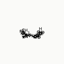 Cc1nc(-c2cn([C@H]3C[C@H](CCc4ccc5c(c4)CN(C4CCC(=O)NC4=O)C5=O)C3)nc2C2CC2)ccc1F